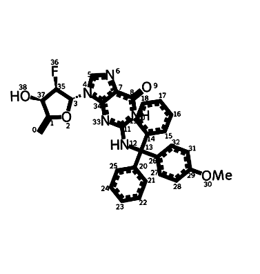 C=C1O[C@@H](n2cnc3c(=O)[nH]c(NC(c4ccccc4)(c4ccccc4)c4ccc(OC)cc4)nc32)[C@H](F)[C@@H]1O